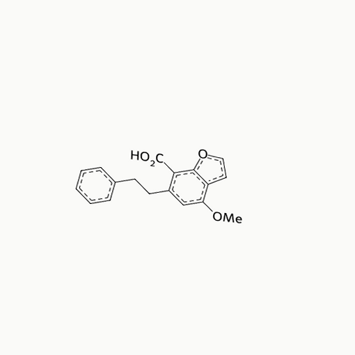 COc1cc(CCc2ccccc2)c(C(=O)O)c2occc12